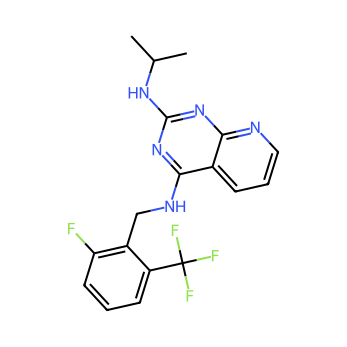 CC(C)Nc1nc(NCc2c(F)cccc2C(F)(F)F)c2cccnc2n1